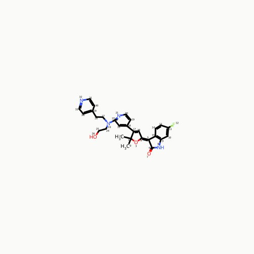 CC1(C)OC(=C2C(=O)Nc3cc(F)ccc32)C=C1c1ccnc(N(CCO)CCc2ccncc2)c1